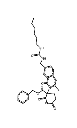 CCCCCCNC(=O)NCc1ccc2nc(C)n(C3(C(=O)OCc4ccccc4)CCC(=O)NC3=O)c(=O)c2c1